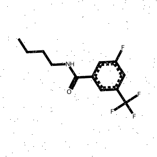 [CH2]CCCNC(=O)c1cc(F)cc(C(F)(F)F)c1